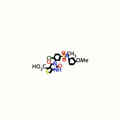 COc1cccc(N(C)S(=O)(=O)c2ccc(Cl)c(-n3c(=O)[nH]c4csc(C(=O)O)c4c3=O)c2)c1